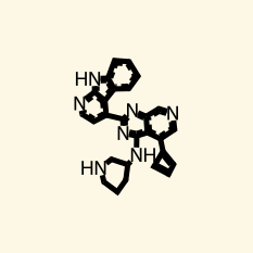 C1=CC(c2cncc3nc(-c4ccnc5[nH]c6ccccc6c45)nc(NC4CCCNC4)c23)=C1